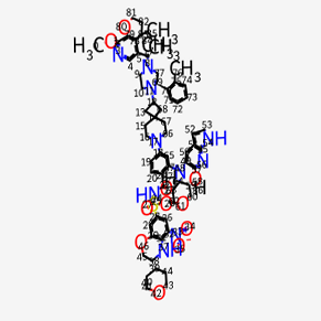 COc1ncc(C(C)N2CCN(C3CC4(CCN(c5ccc(C(=O)NS(=O)(=O)c6cc7c(c([N+](=O)[O-])c6)N[C@H](C6CCOCC6)CO7)c(N6c7cc8cc[nH]c8nc7O[C@H]7COCC[C@@H]76)c5)CC4)C3)[C@H](c3ccccc3C)C2)c2c1OCCC2(C)C